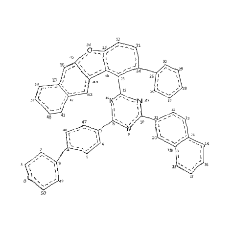 c1ccc(-c2ccc(-c3nc(-c4ccc5ccccc5c4)nc(-c4c(-c5ccccc5)ccc5oc6cc7ccccc7cc6c45)n3)cc2)cc1